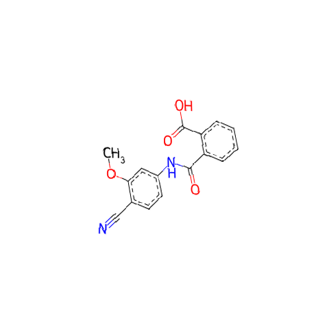 COc1cc(NC(=O)c2ccccc2C(=O)O)ccc1C#N